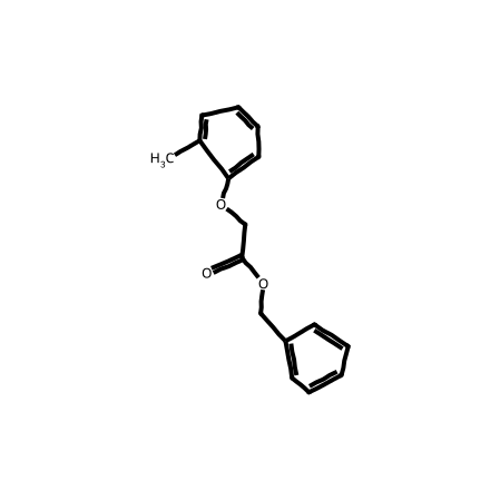 Cc1ccccc1OCC(=O)OCc1ccccc1